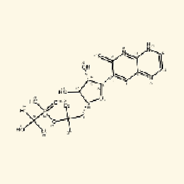 CCC(C)(C[C@H]1O[C@@H](c2cc3ncc[nH]c-3nc2=S)[C@@H](O)C1O)OP(=O)(O)C(O)(CC)CC